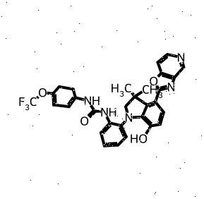 CC1(C)CN(c2ccccc2NC(=O)NC2=CC=C(OC(F)(F)F)CC2)c2c(O)ccc(-c3nc4cnccc4o3)c21